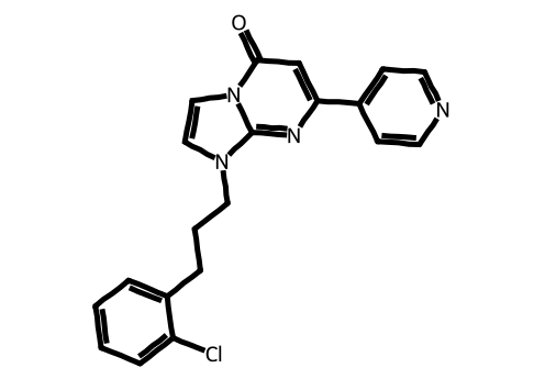 O=c1cc(-c2ccncc2)nc2n(CCCc3ccccc3Cl)ccn12